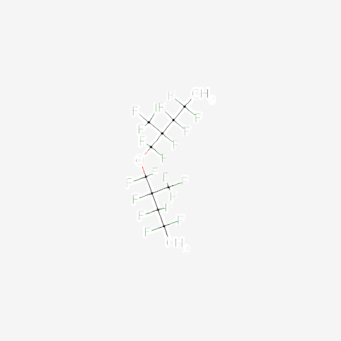 CC(F)(F)C(F)(F)C(F)(C(F)(F)F)C(F)(F)OC(F)(F)C(F)(C(F)(F)F)C(F)(F)C(C)(F)F